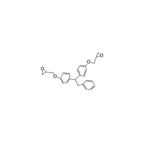 c1ccc(CC(c2ccc(OCC3CO3)cc2)c2ccc(OCC3CO3)cc2)cc1